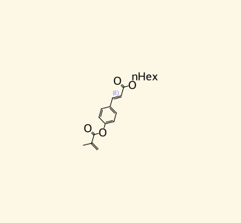 C=C(C)C(=O)Oc1ccc(/C=C/C(=O)OCCCCCC)cc1